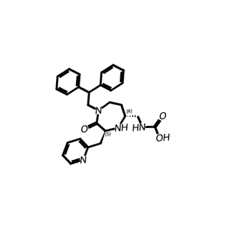 O=C(O)NC[C@H]1CCN(CC(c2ccccc2)c2ccccc2)C(=O)[C@H](Cc2ccccn2)N1